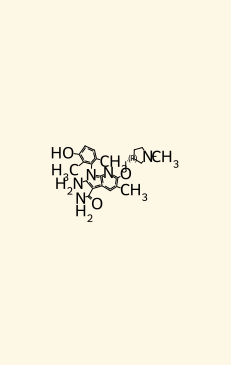 Cc1cc2c(C(N)=O)c(N)n(-c3c(C)ccc(O)c3C)c2nc1OC[C@@H]1CCN(C)C1